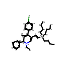 CCC[CH2][Sn]([CH]=CC1=CN(CC)C(c2ccccc2)C(C)=C1c1ccc(F)cc1)([CH2]CCC)[CH2]CCC